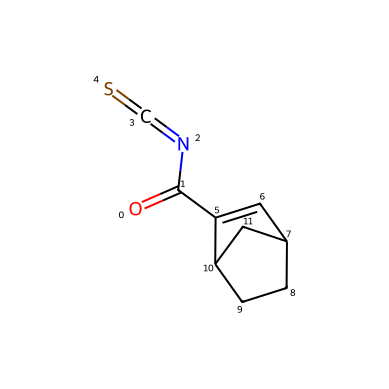 O=C(N=C=S)C1=CC2CCC1C2